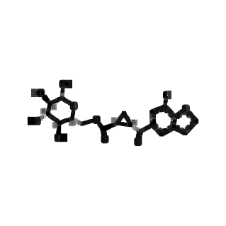 O=C(OC[C@H]1OC(O)[C@H](O)[C@@H](O)[C@@H]1O)[C@H]1C[C@@H]1C(=O)c1cc(Cl)c2occc2c1